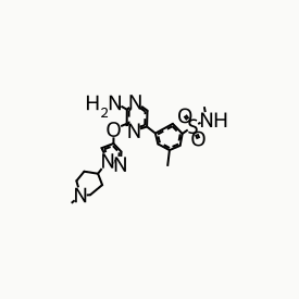 CNS(=O)(=O)c1cc(C)cc(-c2cnc(N)c(Oc3cnn(C4CCN(C)CC4)c3)n2)c1